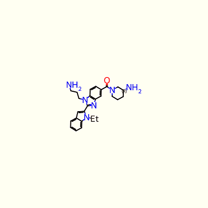 CCn1c(-c2nc3cc(C(=O)N4CCC[C@@H](N)C4)ccc3n2CCCN)cc2ccccc21